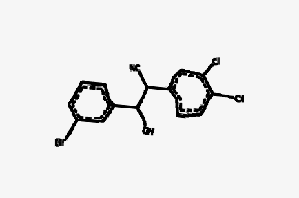 N#CC(c1ccc(Cl)c(Cl)c1)C(O)c1cccc(Br)c1